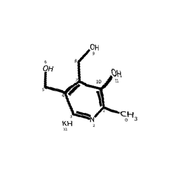 Cc1ncc(CO)c(CO)c1O.[KH]